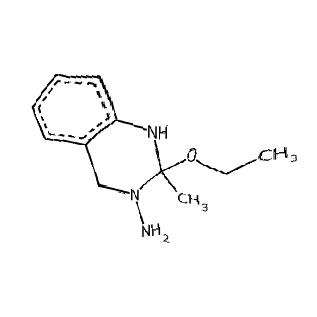 CCOC1(C)Nc2ccccc2CN1N